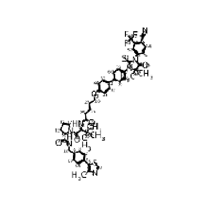 Cc1ncsc1-c1ccc(CNC(=O)[C@@H]2CCCN2C(=O)C(NC(=O)CCCCOc2ccc(-c3ccc(N4C(=S)N(c5ccc(C#N)c(C(F)(F)F)c5)C(=O)C4(C)C)cc3)cc2)C(C)(C)C)cc1